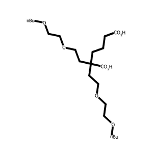 CCCCOCCOCCC(CCCC(=O)O)(CCOCCOCCCC)C(=O)O